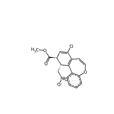 COC(=O)[C@H]1C=C(Cl)C2=C(c3ccccc3OC=C2)[C@@H]1C[N+](=O)[O-]